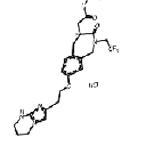 CCCCCCCOC(=O)C[C@@H]1Cc2ccc(OCCc3cn4c(n3)NCCC4)cc2CN(CC(F)(F)F)C1=O.Cl